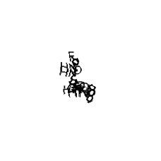 O=C(NCCc1ccc(S(=O)(=O)NC(=O)Nc2c3c(cc4c2CCC4)CCC3)cc1)Nc1cccc(F)c1